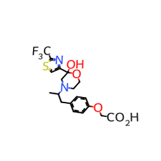 CC(Cc1ccc(OCC(=O)O)cc1)N1CCOC(O)(c2csc(C(F)(F)F)n2)C1